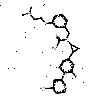 CN(C)CCOc1cccc(CN(C(N)=O)C2CC2c2ccc(-c3cc(N)ncn3)c(F)c2)c1